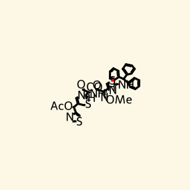 CON=C(C(=O)NC1(C(=O)O)C(=O)N2C=C(C(OC(C)=O)c3cscn3)CS[C@H]21)c1csc(NC(c2ccccc2)(c2ccccc2)c2ccccc2)n1